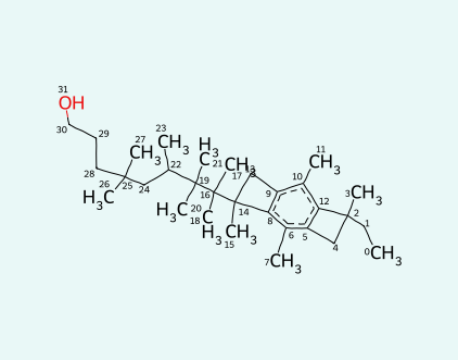 CCC1(C)Cc2c(C)c3c(c(C)c21)CC3(C)C(C)(C)C(C)(C)C(C)CC(C)(C)CCCO